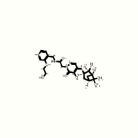 C[C@H]1[C@H]2C[C@H](C[C@H]1Nc1cnn(CC(=O)NCc3ccncc3OCCO)c(=O)c1Cl)C2(C)C